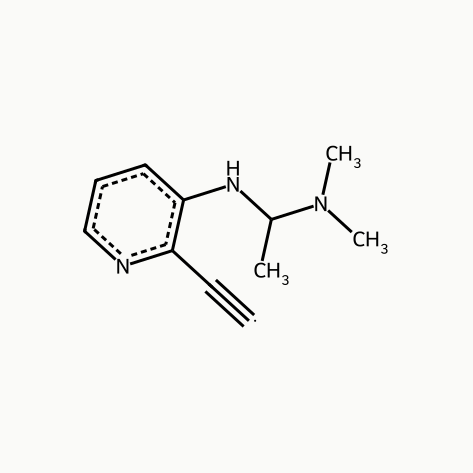 [C]#Cc1ncccc1NC(C)N(C)C